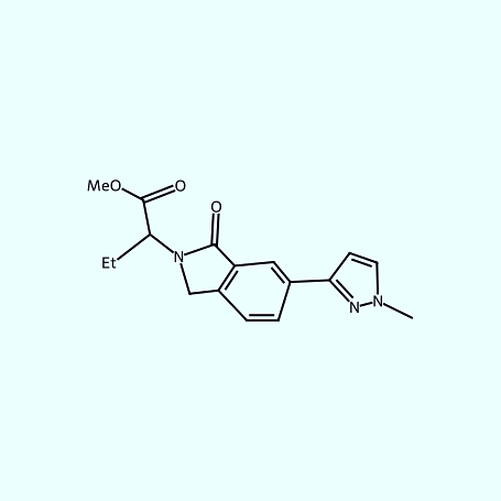 CCC(C(=O)OC)N1Cc2ccc(-c3ccn(C)n3)cc2C1=O